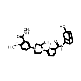 CNC(=O)c1cc(N2CCN(c3cccc(C(=O)NC4C5CC6CC4CC(O)(C6)C5)n3)C(C)C2)ccc1OC